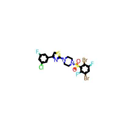 O=S(=O)(c1c(F)c(Br)cc(F)c1Br)N1CCN(c2nc(-c3cc(F)cc(Cl)c3)cs2)CC1